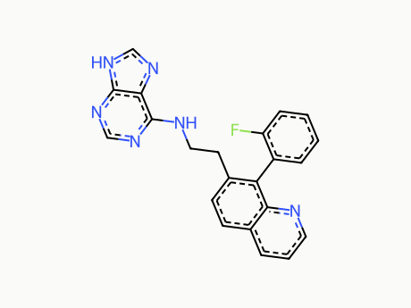 Fc1ccccc1-c1c(CCNc2ncnc3[nH]cnc23)ccc2cccnc12